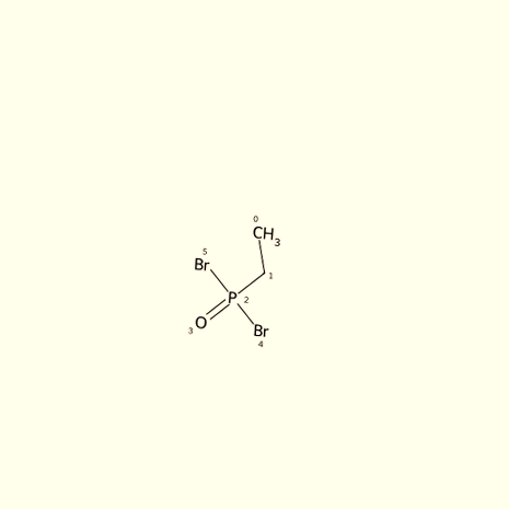 CCP(=O)(Br)Br